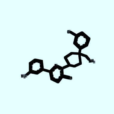 Cc1cccc(-c2ccc(=O)n(C3CCC(CN)(c4cccc(Cl)c4)CC3)n2)c1